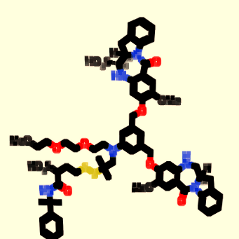 COCCOCCOCCN(CC(C)(C)SSCCC(C(=O)NC(C)(C)c1ccccc1)S(=O)(=O)O)c1cc(COc2cc3c(cc2OC)C(=O)N2c4ccccc4C[C@H]2CN3)cc(COc2cc3c(cc2OC)C(=O)N2c4ccccc4C[C@H]2[C@@H](S(=O)(=O)O)N3)c1